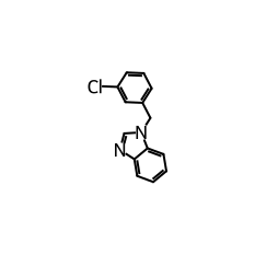 Clc1cccc(Cn2cnc3ccccc32)c1